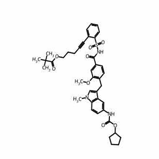 COc1cc(C(=O)NS(=O)(=O)c2ccccc2C#CCCCOC(=O)C(C)(C)C)ccc1Cc1cn(C)c2ccc(NC(=O)OC3CCCC3)cc12